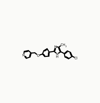 Cc1nc(-c2ccc(OCc3ccncc3)cc2)[nH]c1-c1ccc(Cl)cc1